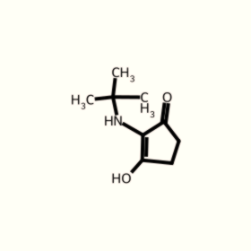 CC(C)(C)NC1=C(O)CCC1=O